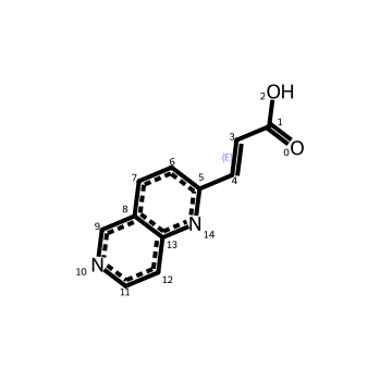 O=C(O)/C=C/c1ccc2cnccc2n1